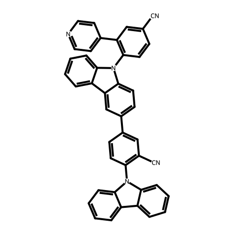 N#Cc1ccc(-n2c3ccccc3c3cc(-c4ccc(-n5c6ccccc6c6ccccc65)c(C#N)c4)ccc32)c(-c2ccncc2)c1